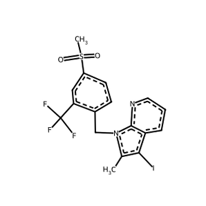 Cc1c(I)c2cccnc2n1Cc1ccc(S(C)(=O)=O)cc1C(F)(F)F